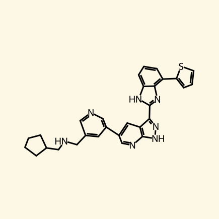 c1csc(-c2cccc3[nH]c(-c4n[nH]c5ncc(-c6cncc(CNCC7CCCC7)c6)cc45)nc23)c1